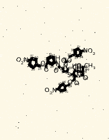 C[C@H]1C(S[C@H]2C[C@@H](C(=O)Nc3cccc(C(=O)OCc4ccc([N+](=O)[O-])cc4)c3)N(C(=O)OCc3ccc([N+](=O)[O-])cc3)C2)=C(C(=O)OCc2ccc([N+](=O)[O-])cc2)N2C(=O)[C@](I)([C@@H](C)O)[C@@H]12